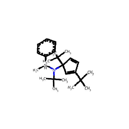 C[SiH](c1ccccc1)N(C(C)(C)C)C1(C(C)(C)C)C=CC(C(C)(C)C)=C1